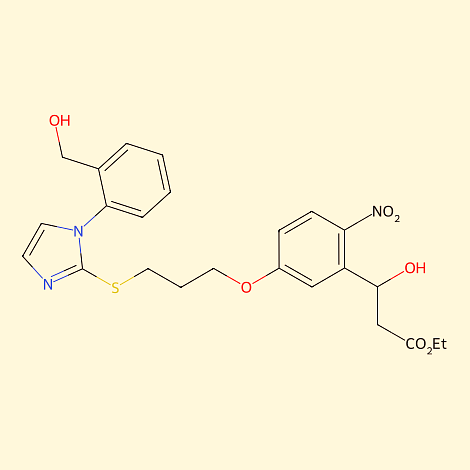 CCOC(=O)CC(O)c1cc(OCCCSc2nccn2-c2ccccc2CO)ccc1[N+](=O)[O-]